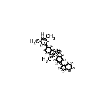 COc1ccc(N2C[C@@H](C)N[C@@H](C)C2)cc1NS(=O)(=O)c1ccc(-c2csc3ccccc23)cc1